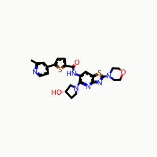 Cc1cc(-c2ccc(C(=O)Nc3cc4sc(N5CCOCC5)nc4nc3N3CC[C@H](O)C3)s2)ccn1